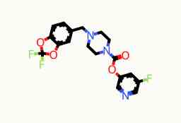 O=C(Oc1cncc(F)c1)N1CCN(Cc2ccc3c(c2)OC(F)(F)O3)CC1